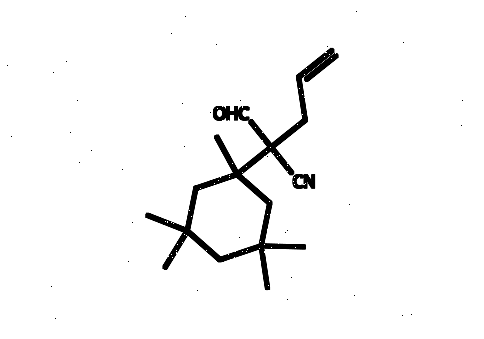 C=CCC(C#N)(C=O)C1(C)CC(C)(C)CC(C)(C)C1